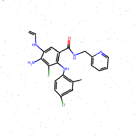 C=CNc1cc(C(=O)NCc2ccccn2)c(Nc2ccc(Cl)cc2C)c(F)c1N